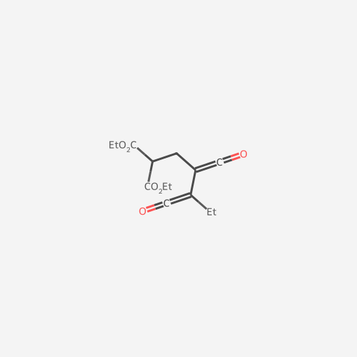 CCOC(=O)C(CC(=C=O)C(=C=O)CC)C(=O)OCC